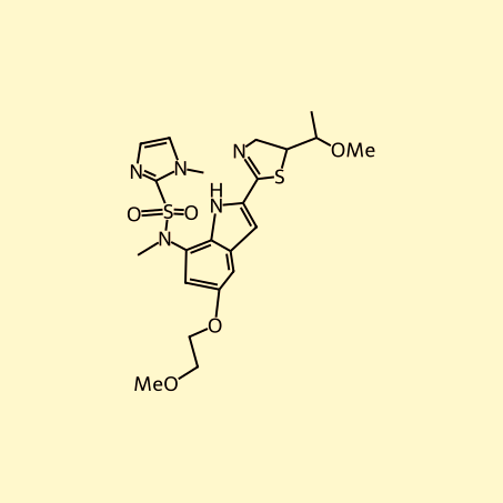 COCCOc1cc(N(C)S(=O)(=O)c2nccn2C)c2[nH]c(C3=NCC(C(C)OC)S3)cc2c1